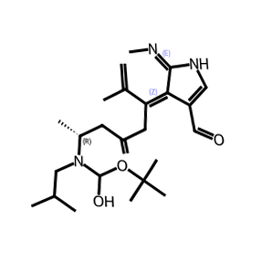 C=C(C/C(C(=C)C)=C1\C(C=O)=CN\C1=N\C)C[C@@H](C)N(CC(C)C)C(O)OC(C)(C)C